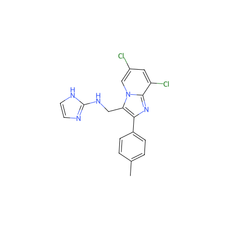 Cc1ccc(-c2nc3c(Cl)cc(Cl)cn3c2CNc2ncc[nH]2)cc1